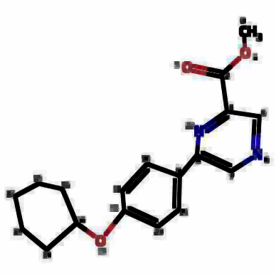 COC(=O)c1cncc(-c2ccc(OC3CCCCC3)cc2)n1